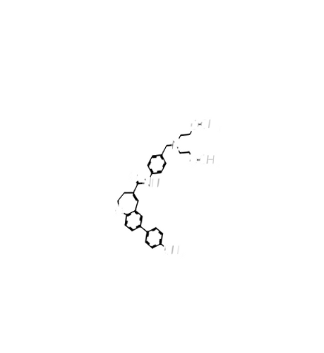 COCCN(CCOC)Cc1ccc(NC(=O)C2=Cc3cc(-c4ccc(C)cc4)ccc3OCC2)cc1